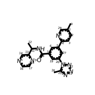 Cc1ccc(-c2cc(C(=O)NC(C)c3cnccn3)cc(-n3nnnc3C)c2)nc1